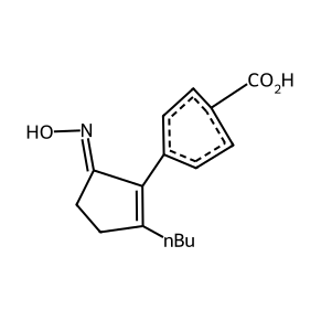 CCCCC1=C(c2ccc(C(=O)O)cc2)/C(=N/O)CC1